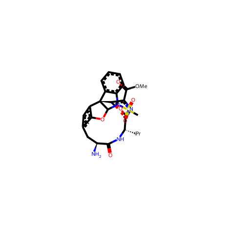 COC(=O)c1nc2oc1[C@]13c4cc(ccc4OC1N(S(C)(=O)=O)c1ccccc13)C[C@H](N)C(=O)N[C@H]2C(C)C